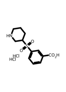 Cl.Cl.O=C(O)c1cccc(S(=O)(=O)C2CCCNC2)c1